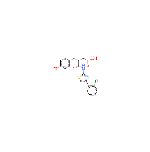 COc1ccc(C[C@H](CC(=O)O)C(=O)Nc2nc(-c3ccccc3Cl)cs2)cc1